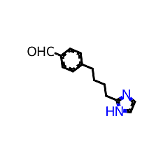 O=Cc1ccc(CCCCc2ncc[nH]2)cc1